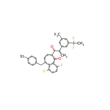 C=C(C(=O)c1ccc(Cc2ccc(CC)cc2)c2c(F)ccc(F)c2c1=O)c1cc(C(C)(F)F)cc(C(F)(F)F)c1